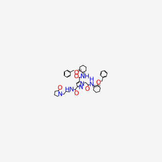 O=C(Cn1nc(C(=O)NCCCN2CCCC2=O)cc1C(=O)N[C@H]1CCCC[C@@H]1OCc1ccccc1)N[C@H]1CCCC[C@@H]1OCc1ccccc1